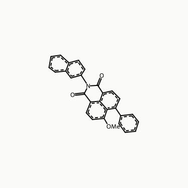 COc1ccc2c3c(ccc(-c4ccccc4)c13)C(=O)N(c1ccc3ccccc3c1)C2=O